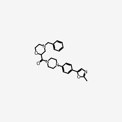 Cc1ncc(-c2ccc(N3CCN(C(=O)C4CN(Cc5ccccc5)CCO4)CC3)cc2)o1